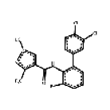 Cn1cc(C(=O)Nc2c(F)cccc2-c2ccc(Cl)c(Cl)c2)c(C(F)(F)F)n1